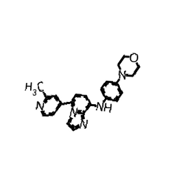 Cc1cc(-c2ccc(Nc3ccc(N4CCOCC4)cc3)c3nccn23)ccn1